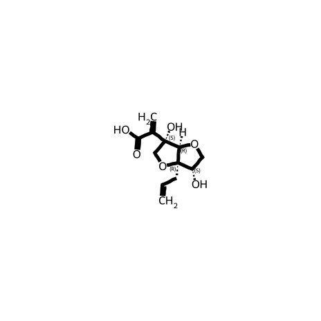 C=CC[C@]12OC[C@@](O)(C(=C)C(=O)O)[C@H]1OC[C@@H]2O